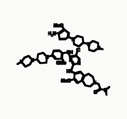 COc1cc(N2CCC(N3CCN(C)CC3)CC2)ccc1N.COc1cc2c(cc1Nc1ncc(Cl)c(Nc3ccc(N4CCC(N5CCN(C)CC5)CC4)cc3OC)n1)CCN(CC(=O)N(C)C)CC2